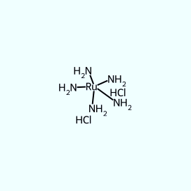 Cl.Cl.[NH2][Ru]([NH2])([NH2])([NH2])[NH2]